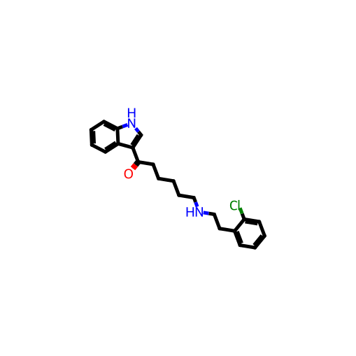 O=C(CCCCCNCCc1ccccc1Cl)c1c[nH]c2ccccc12